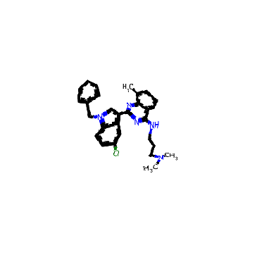 Cc1cccc2c(NCCCN(C)C)nc(-c3cn(Cc4ccccc4)c4ccc(Cl)cc34)nc12